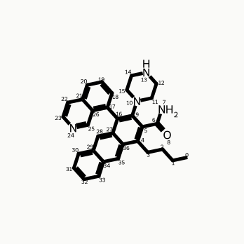 CCCCc1c(C(N)=O)c(N2CCNCC2)c(-c2cccc3ccncc23)c2cc3ccccc3cc12